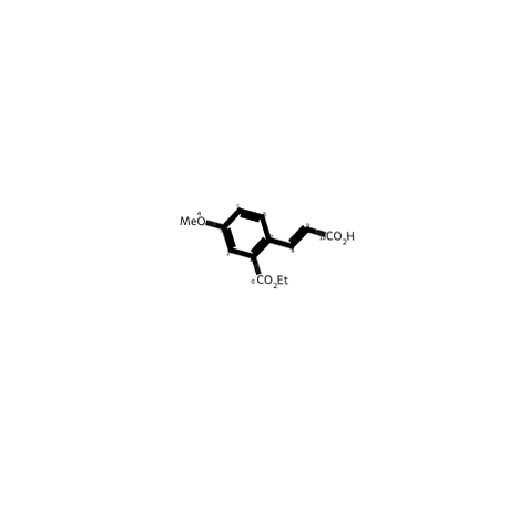 CCOC(=O)c1cc(OC)ccc1/C=C/C(=O)O